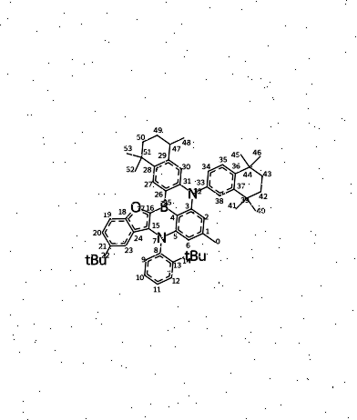 Cc1cc2c3c(c1)N(c1ccccc1C(C)(C)C)c1c(oc4ccc(C(C)(C)C)cc14)B3c1cc3c(cc1N2c1ccc2c(c1)C(C)(C)CCC2(C)C)C(C)CCC3(C)C